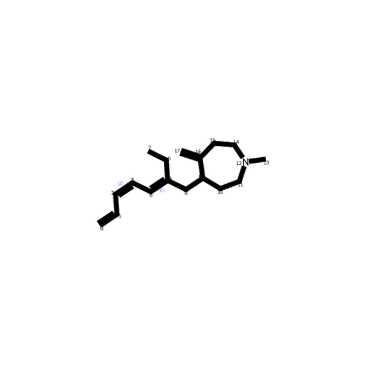 C=C/C=C\C=C(/CC)CC1CCN(C)CCC1=C